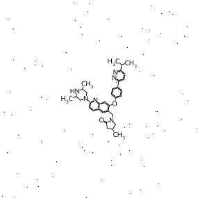 CC1CN(c2ccc3cc(CN4C[C@@H](C)CC4=O)c(Oc4ccc(-c5ccc(C(C)C)nn5)cc4)cc3n2)CC(C)N1